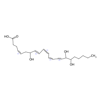 CCCCCC(O)C(O)/C=C/C=C\C=C/C=C/C(O)C/C=C\CCC(=O)O